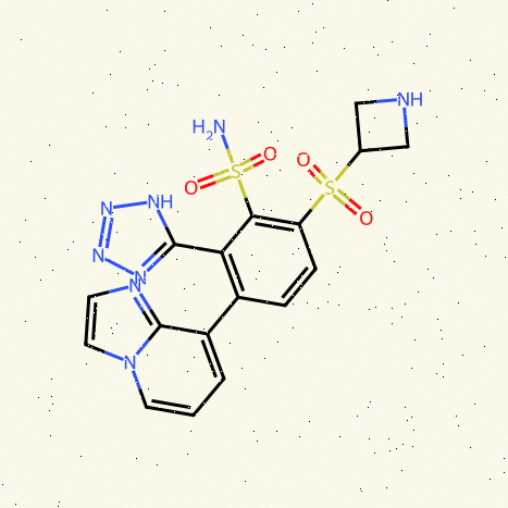 NS(=O)(=O)c1c(S(=O)(=O)C2CNC2)ccc(-c2cccn3ccnc23)c1-c1nnn[nH]1